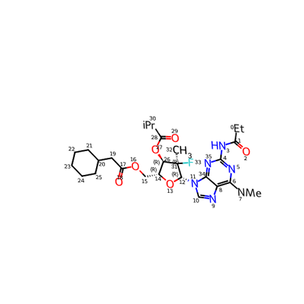 CCC(=O)Nc1nc(NC)c2ncn([C@@H]3O[C@H](COC(=O)CC4CCCCC4)[C@@H](OC(=O)C(C)C)[C@@]3(C)F)c2n1